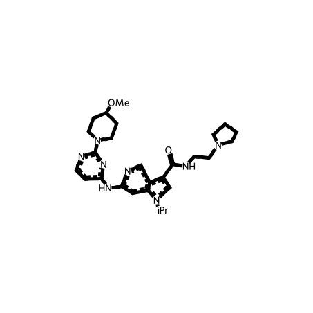 COC1CCN(c2nccc(Nc3cc4c(cn3)c(C(=O)NCCN3CCCC3)cn4C(C)C)n2)CC1